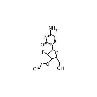 Nc1ccn(C2OC(CO)C(OCC=O)C2F)c(=O)n1